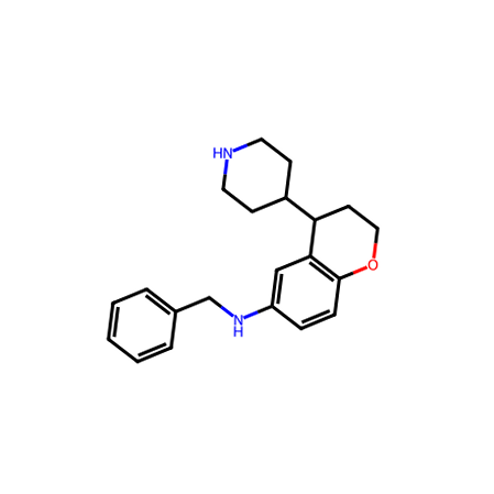 c1ccc(CNc2ccc3c(c2)C(C2CCNCC2)CCO3)cc1